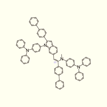 CN(/C(=C\c1ccc2cc(-c3ccc(-c4ccccc4)cc3)n(-c3ccc(N(c4ccccc4)c4ccccc4)cc3)c2c1)c1ccc(-c2ccccc2)cc1)c1ccc(N(c2ccccc2)c2ccccc2)cc1